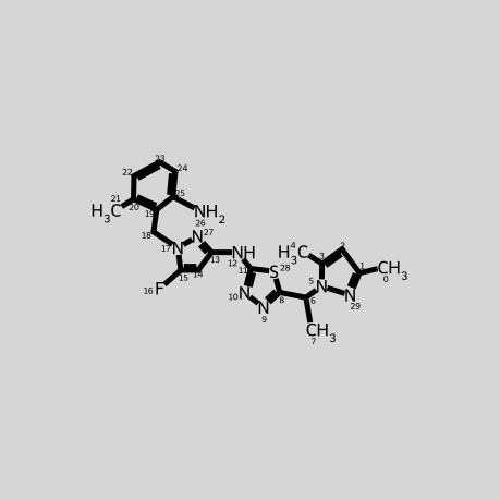 Cc1cc(C)n(C(C)c2nnc(Nc3cc(F)n(Cc4c(C)cccc4N)n3)s2)n1